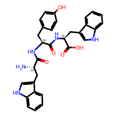 N[C@@H](Cc1c[nH]c2ccccc12)C(=O)N[C@@H](Cc1ccc(O)cc1)C(=O)N[C@@H](Cc1c[nH]c2ccccc12)C(=O)O